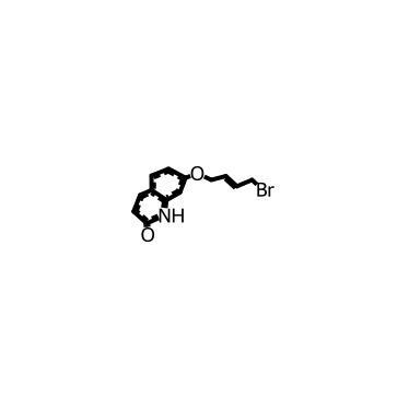 O=c1ccc2ccc(OC/C=C/CBr)cc2[nH]1